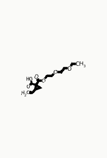 C=CC1CC1(C(=O)O)C(=O)OCCOCCOCC